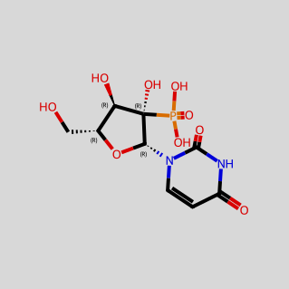 O=c1ccn([C@@H]2O[C@H](CO)[C@@H](O)[C@@]2(O)P(=O)(O)O)c(=O)[nH]1